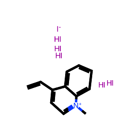 C=Cc1cc[n+](C)c2ccccc12.I.I.I.I.I.[I-]